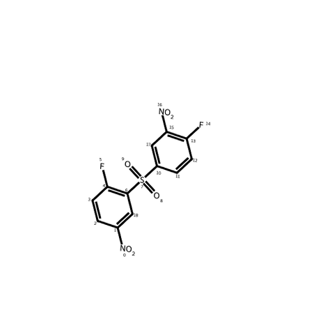 O=[N+]([O-])c1ccc(F)c(S(=O)(=O)c2ccc(F)c([N+](=O)[O-])c2)c1